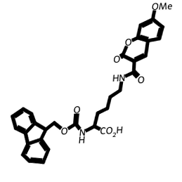 COc1ccc2cc(C(=O)NCCCCC(NC(=O)OCC3c4ccccc4-c4ccccc43)C(=O)O)c(=O)oc2c1